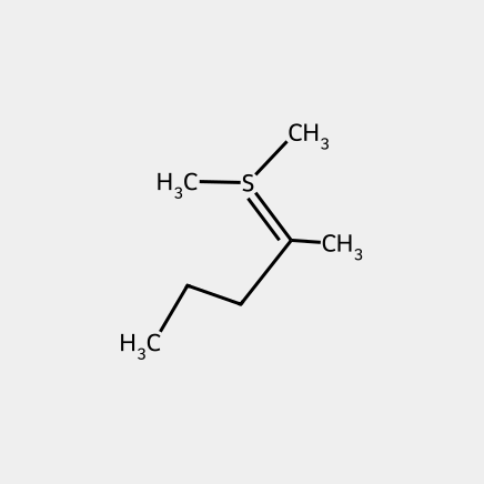 CCCC(C)=S(C)C